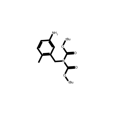 Cc1ccc(N)cc1CN(C(=O)OC(C)(C)C)C(=O)OC(C)(C)C